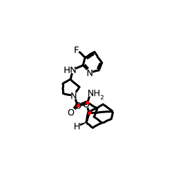 NC(=O)C12CC3CC(C1)C(OC(=O)N1CCC(Nc4ncccc4F)C1)[C@H](C3)C2